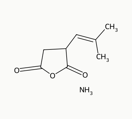 CC(C)=CC1CC(=O)OC1=O.N